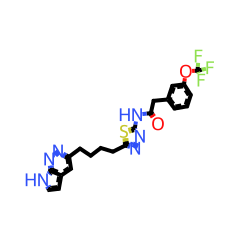 O=C(Cc1cccc(OC(F)(F)F)c1)Nc1nnc(CCCCc2cc3cc[nH]c3nn2)s1